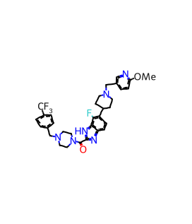 COc1ccc(CN2CCC(c3ccc4nc(C(=O)N5CCN(Cc6ccc(C(F)(F)F)cc6)CC5)[nH]c4c3F)CC2)cn1